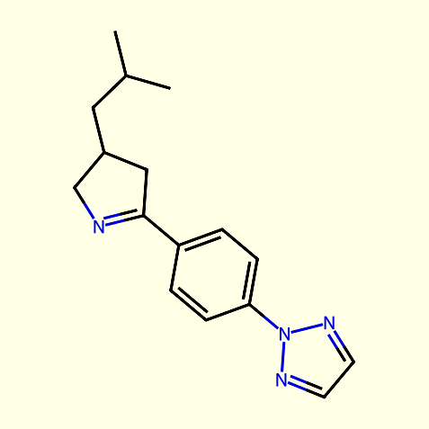 CC(C)CC1CN=C(c2ccc(-n3nccn3)cc2)C1